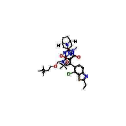 CCc1nc2ccc(-c3cn(COCC[Si](C)(C)C)c4nc(N5[C@@H]6CC[C@H]5C[C@@H](NC(=O)OC(C)(C)C)C6)n(C)c(=O)c34)c(Cl)c2s1